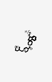 CO/N=C1/CC2(CCN(C(=O)C3CCN(CC4CCOCC4)CC3)CC2)c2ccccc21